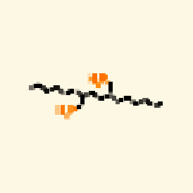 CCCCCCC(CP)CCC(CP)CCCCCC